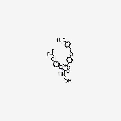 Cc1ccc(CCOc2ccc(C(=O)N/C(=C\c3ccc(OCC(F)F)cc3)C(=O)NCCO)cc2)cc1